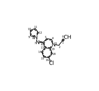 C#CCn1ccc(=Nn2cccc2)c2ccc(Cl)cc21